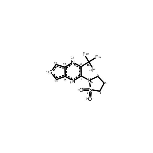 O=S1(=O)CCCN1c1nc2cscc2nc1C(F)(F)F